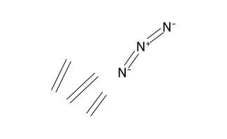 C=C.C=C.C=C.[N-]=[N+]=[N-]